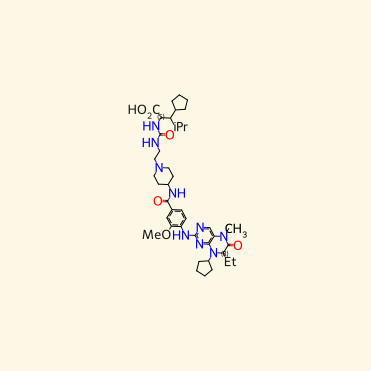 CC[C@@H]1C(=O)N(C)c2cnc(Nc3ccc(C(=O)NC4CCN(CCNC(=O)N[C@H](C(=O)O)C(C(C)C)C5CCCC5)CC4)cc3OC)nc2N1C1CCCC1